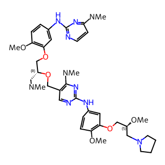 CNC[C@H](COc1cc(Nc2nccc(NC)n2)ccc1OC)OCc1cnc(Nc2ccc(OC)c(OC[C@H](CN3CCCC3)OC)c2)nc1NC